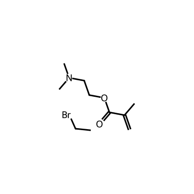 C=C(C)C(=O)OCCN(C)C.CCBr